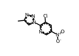 Cc1cn(-c2ncc([N+](=O)[O-])cc2Cl)nn1